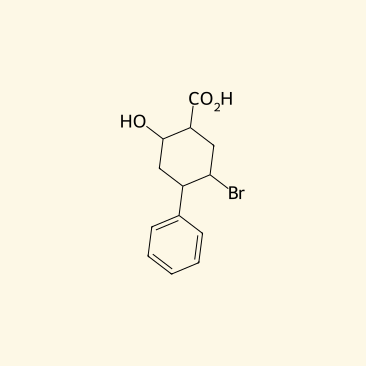 O=C(O)C1CC(Br)C(c2ccccc2)CC1O